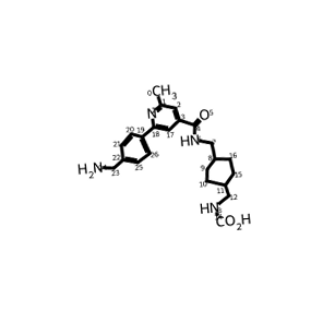 Cc1cc(C(=O)NCC2CCC(CNC(=O)O)CC2)cc(-c2ccc(CN)cc2)n1